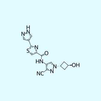 N#Cc1nn([C@H]2C[C@H](O)C2)cc1NC(=O)c1csc(-c2cn[nH]c2)n1